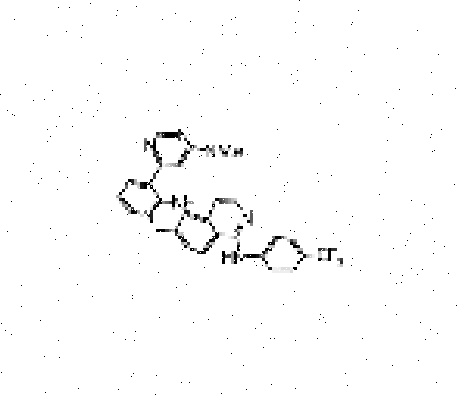 CNc1cc(-c2cccnc2Nc2c(C)ccc3c(Nc4ccc(C(F)(F)F)cc4)nccc23)ncn1